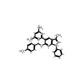 Cc1ccc(COc2nc3c(cc2-c2nc(N)cc(N)n2)c(C)nn3-c2ccccc2)cc1